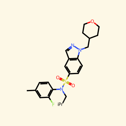 Cc1ccc(N(CC(C)C)S(=O)(=O)c2ccc3c(cnn3CC3CCOCC3)c2)c(F)c1